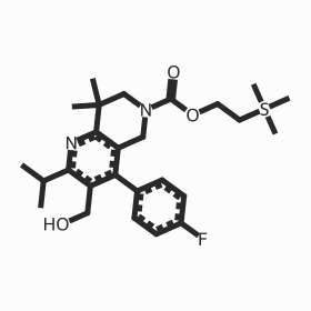 CC(C)c1nc2c(c(-c3ccc(F)cc3)c1CO)CN(C(=O)OCCS(C)(C)C)CC2(C)C